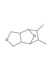 CC1C(C)C2OC1C1COCC12